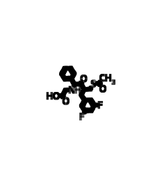 CC(=O)SCC(Cc1cc(F)cc(F)c1)C(=O)C(NCC(=O)O)c1ccccc1